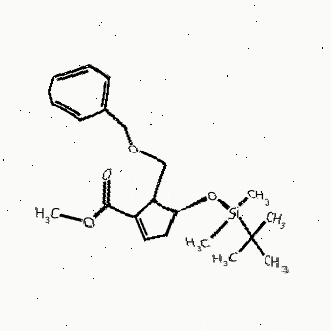 COC(=O)C1=CC[C@H](O[Si](C)(C)C(C)(C)C)C1COCc1ccccc1